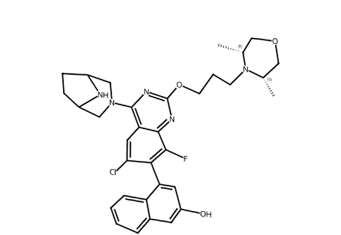 C[C@@H]1COC[C@H](C)N1CCCOc1nc(N2CC3CCC(C2)N3)c2cc(Cl)c(-c3cc(O)cc4ccccc34)c(F)c2n1